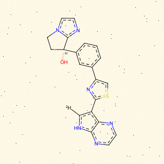 [2H]c1[nH]c2nccnc2c1-c1nc(-c2cccc([C@@]3(O)CCn4ccnc43)c2)cs1